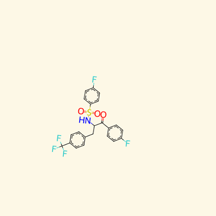 O=C(c1ccc(F)cc1)C(Cc1ccc(C(F)(F)F)cc1)NS(=O)(=O)c1ccc(F)cc1